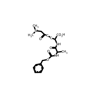 CC(NC(=O)OCc1ccccc1)C(=O)NC(CCC(=O)C[S+](C)C)C(=O)O